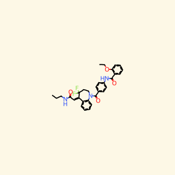 CCCNC(=O)/C=C1/c2ccccc2N(C(=O)c2ccc(NC(=O)c3ccccc3OCC)cc2)CCC1(F)F